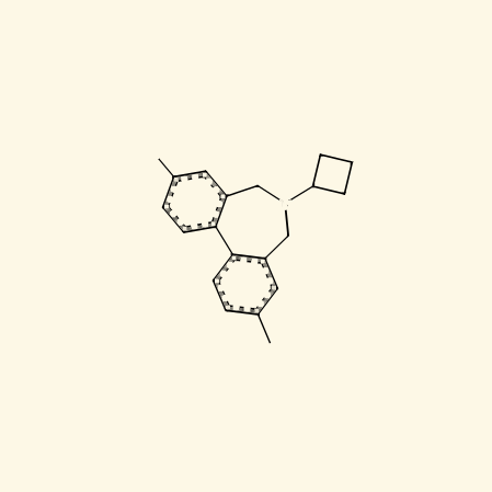 Cc1ccc2c(c1)CN(C1CCC1)Cc1cc(O)ccc1-2